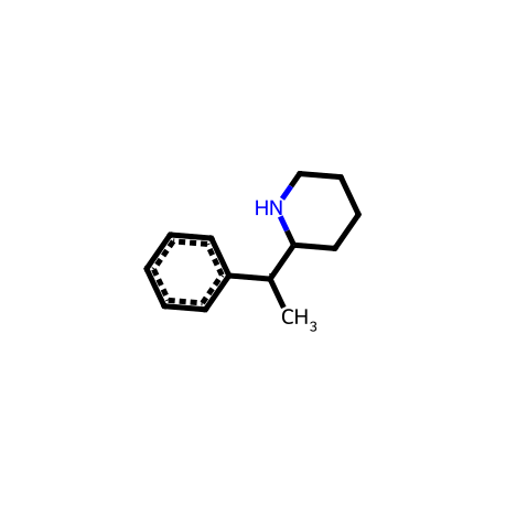 C[C](c1ccccc1)C1CCCCN1